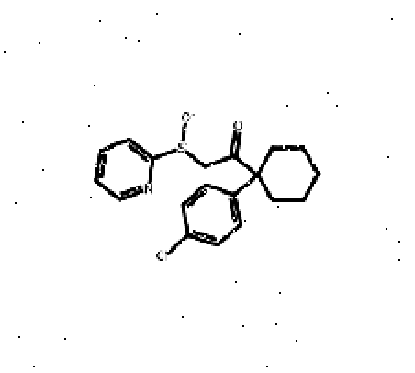 O=C(C[S+]([O-])c1ccccn1)C1(c2ccc(Cl)cc2)CCCCC1